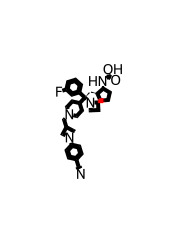 N#Cc1ccc(N2CC(CN3CCC([C@@](C[C@H]4CCC[C@@H]4NC(=O)O)(c4cccc(F)c4)N4CCC4)CC3)C2)cc1